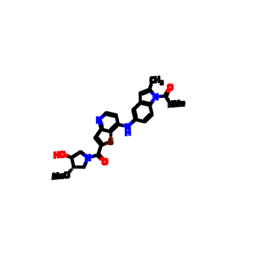 CNC(=O)n1c(C)cc2cc(Nc3ccnc4cc(C(=O)N5C[C@H](OC)[C@@H](O)C5)sc34)ccc21